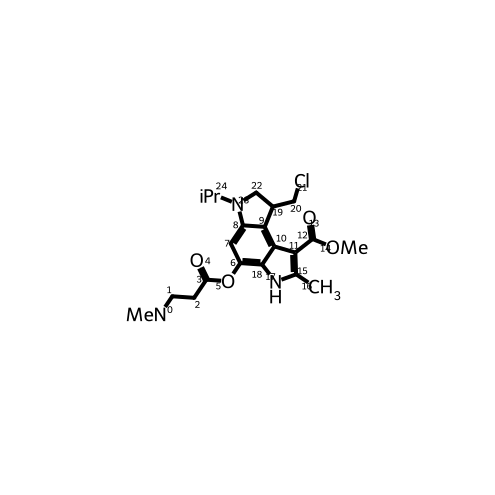 CNCCC(=O)Oc1cc2c(c3c(C(=O)OC)c(C)[nH]c13)C(CCl)CN2C(C)C